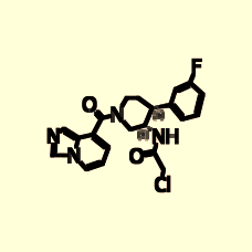 O=C(CCl)N[C@@H]1CN(C(=O)c2cccn3cncc23)CC[C@H]1c1cccc(F)c1